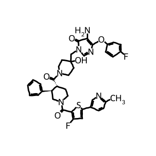 Cc1ccc(-c2cc(F)c(C(=O)N3CC[C@@H](C(=O)N4CCC(O)(Cn5cnc(Oc6ccc(F)cc6)c(N)c5=O)CC4)[C@H](c4ccccc4)C3)s2)cn1